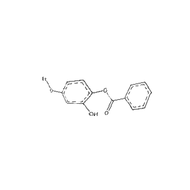 [CH2]COc1ccc(OC(=O)c2ccccc2)c(O)c1